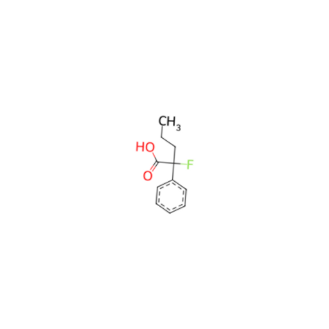 CCCC(F)(C(=O)O)c1ccccc1